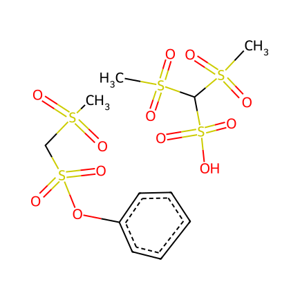 CS(=O)(=O)C(S(C)(=O)=O)S(=O)(=O)O.CS(=O)(=O)CS(=O)(=O)Oc1ccccc1